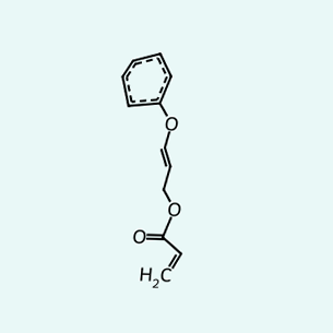 C=CC(=O)OCC=COc1ccccc1